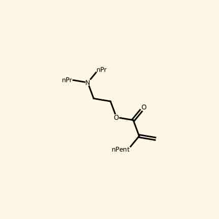 C=C(CCCCC)C(=O)OCCN(CCC)CCC